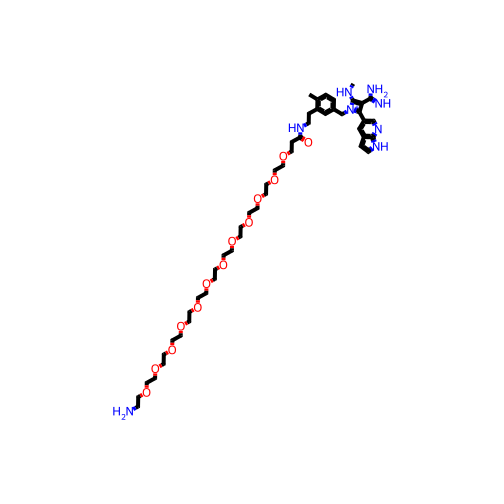 CNC1=C(C(=N)N)C(c2cnc3[nH]ccc3c2)=[N+]1Cc1ccc(C)c(CCNC(=O)CCOCCOCCOCCOCCOCCOCCOCCOCCOCCOCCOCCOCCN)c1